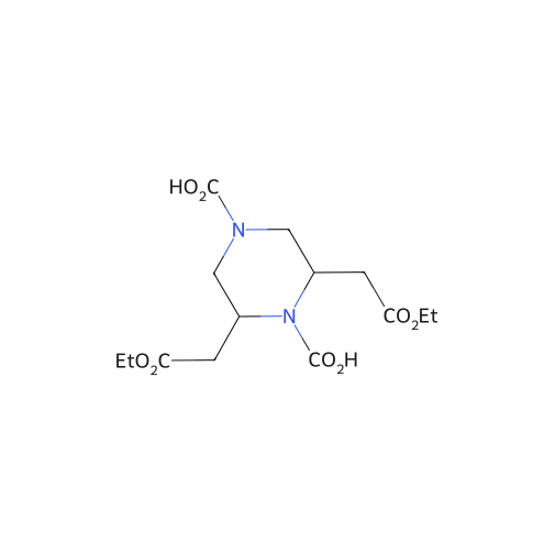 CCOC(=O)CC1CN(C(=O)O)CC(CC(=O)OCC)N1C(=O)O